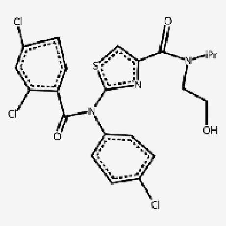 CC(C)N(CCO)C(=O)c1csc(N(C(=O)c2ccc(Cl)cc2Cl)c2ccc(Cl)cc2)n1